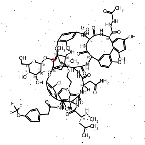 CN[C@H](CC(C)C)C(=O)N[C@H]1C(=O)N[C@@H](CC(N)=O)C(=O)NC2C(=O)N[C@H]3C(=O)N[C@H](C(=O)N[C@@H](C(=O)NNC(C)=O)c4cc(O)cc(O)c4-c4cc3ccc4O)[C@H](O)c3ccc(c(Cl)c3)Oc3cc2cc(c3O[C@@H]2O[C@H](CO)[C@@H](O)[C@H](O)[C@H]2O[C@H]2C[C@](C)(NCCn3ccc(NC(=O)Cc4ccc(OC(F)(F)F)cc4)nc3=O)[C@H](O)[C@H](C)O2)Oc2ccc(cc2Cl)[C@H]1O